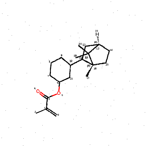 C=C(C)C(=O)OC1CCCC(C2C[C@H]3CC[C@@]2(C)C3(C)C)C1